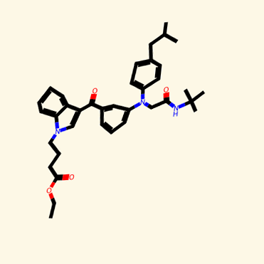 CCOC(=O)CCCn1cc(C(=O)c2cccc(N(CC(=O)NC(C)(C)C)c3ccc(CC(C)C)cc3)c2)c2ccccc21